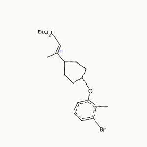 CCOC(=O)/C=C(\C)C1CCC(Oc2cccc(Br)c2C)CC1